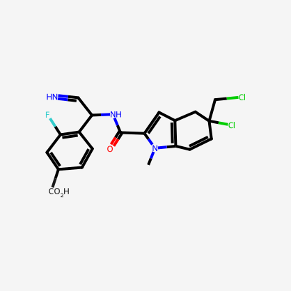 Cn1c(C(=O)NC(C=N)c2ccc(C(=O)O)cc2F)cc2c1C=CC(Cl)(CCl)C2